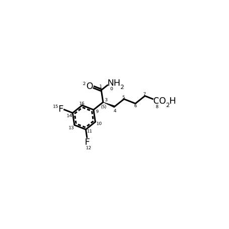 NC(=O)[C@@H](CCCCC(=O)O)c1cc(F)cc(F)c1